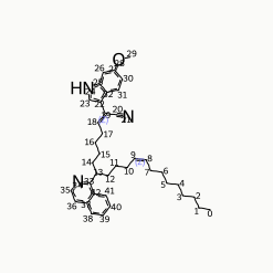 CCCCCCCC/C=C\CCCC(CCCC/C=C(\C#N)c1c[nH]c2cc(OC)ccc12)c1nccc2ccccc12